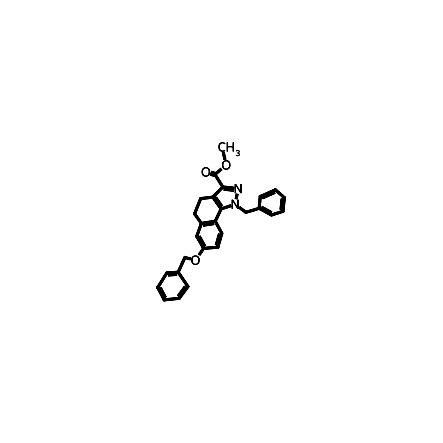 COC(=O)c1nn(Cc2ccccc2)c2c1CCc1cc(OCc3ccccc3)ccc1-2